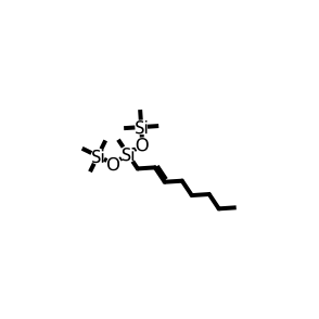 CCCCCC=CC[Si](C)(O[Si](C)(C)C)O[Si](C)(C)C